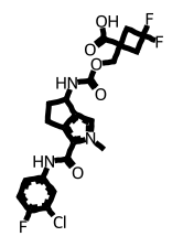 Cn1cc2c(c1C(=O)Nc1ccc(F)c(Cl)c1)CCC2NC(=O)OCC1(C(=O)O)CC(F)(F)C1